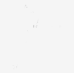 CCCCCOn1cc(Br)cc1C#N